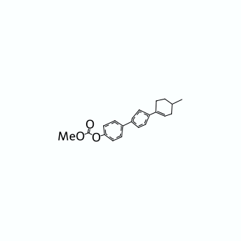 COC(=O)Oc1ccc(-c2ccc(C3=CCC(C)CC3)cc2)cc1